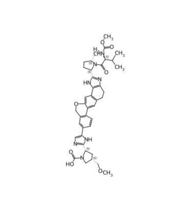 COC[C@H]1C[C@@H](c2ncc(-c3ccc4c(c3)COc3cc5c(cc3-4)CCc3nc([C@@H]4CC[C@H](C)N4C(=O)[C@@H](NC(=O)OC)C(C)C)[nH]c3-5)[nH]2)N(C(=O)O)C1